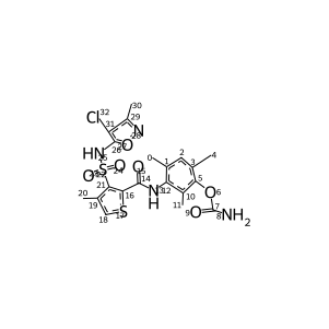 Cc1cc(C)c(OC(N)=O)c(C)c1NC(=O)c1scc(C)c1S(=O)(=O)Nc1onc(C)c1Cl